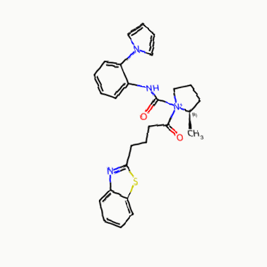 C[C@@H]1CCC[N+]1(C(=O)CCCc1nc2ccccc2s1)C(=O)Nc1ccccc1-n1cccc1